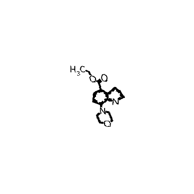 CCOC(=O)c1ccc(N2CCOCC2)c2ncccc12